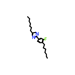 CCCCCCCc1cnc(-c2ccc(CCCCCCC)c(F)c2)nc1